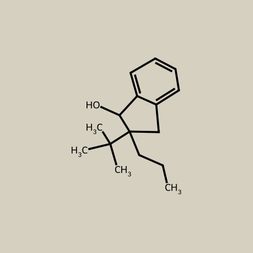 CCCC1(C(C)(C)C)Cc2ccccc2C1O